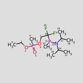 CCOP(C)(=O)OCC(F)(F)P(C)N(C(C)C)C(C)C